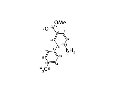 COC(=O)c1ccc(N)c(-c2ccc(C(F)(F)F)cc2)c1